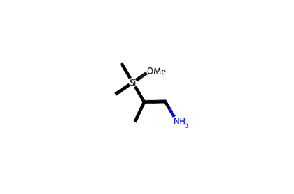 CO[Si](C)(C)C(C)CN